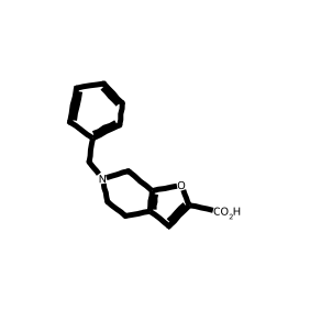 O=C(O)c1cc2c(o1)CN(Cc1ccccc1)CC2